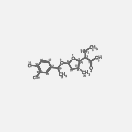 CNC(C(=O)O)[C@@H]1OC(OC(C)c2ccc(Cl)c(Cl)c2)C[C@H]1C